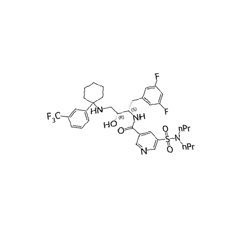 CCCN(CCC)S(=O)(=O)c1cncc(C(=O)N[C@@H](Cc2cc(F)cc(F)c2)[C@H](O)CNC2(c3cccc(C(F)(F)F)c3)CCCCC2)c1